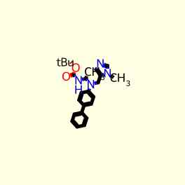 CC(NC(=O)OC(C)(C)C)N(Cc1cncn1C)c1ccc(-c2ccccc2)cc1